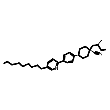 CCCCCCCCCc1ccc(-c2ccc([C@H]3CC[C@@](C#N)(C[C@@H](C)CC)CC3)cc2)nc1